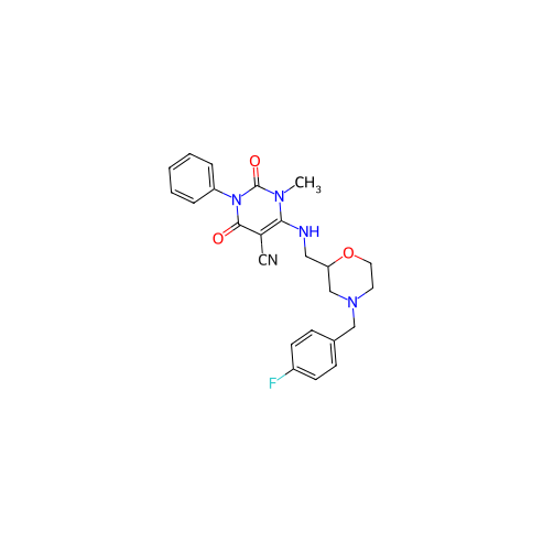 Cn1c(NCC2CN(Cc3ccc(F)cc3)CCO2)c(C#N)c(=O)n(-c2ccccc2)c1=O